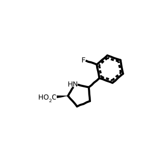 O=C(O)[C@@H]1CCC(c2ccccc2F)N1